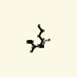 CSC[C@H](C)NB(C)O